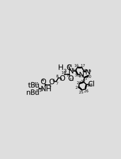 CCCC[C@H](NC(=O)COCCOCC(=O)N(C)c1ccc2ncc(-c3ccccc3Cl)n2c1)C(C)(C)C